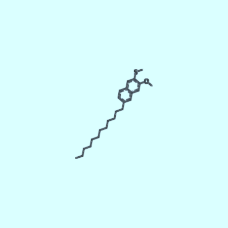 CCCCCCCCCCCCc1ccc2cc(SC)c(OC)cc2c1